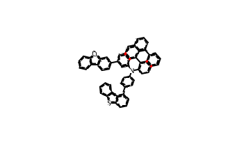 c1ccc(-c2cccc3cccc(-c4ccccc4N(c4ccc(-c5cccc6sc7ccccc7c56)cc4)c4cccc(-c5ccc6c(c5)oc5ccccc56)c4)c23)cc1